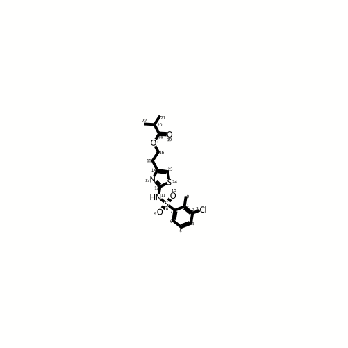 Cc1c(Cl)cccc1S(=O)(=O)Nc1nc(CCOC(=O)C(C)C)cs1